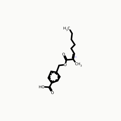 CCCCC/C=C(/C)C(=O)OCc1ccc(C(=O)O)cc1